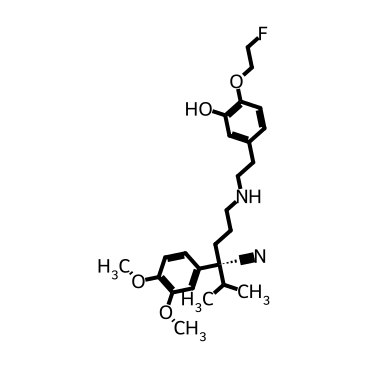 COc1ccc([C@@](C#N)(CCCNCCc2ccc(OCCF)c(O)c2)C(C)C)cc1OC